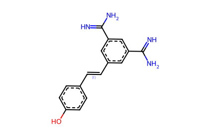 N=C(N)c1cc(/C=C/c2ccc(O)cc2)cc(C(=N)N)c1